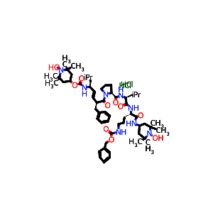 CC(C)C[C@@H](/C=C/[C@H](Cc1ccccc1)C(=O)N1CCC[C@H]1C(=O)N[C@H](C(=O)N[C@@H](CCCNC(=O)OCc1ccccc1)C(=O)NC1CC(C)(C)N(O)C(C)(C)C1)C(C)C)NC(=O)OC1CC(C)(C)N(O)C(C)(C)C1.Cl.Cl